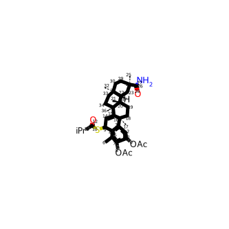 CC(=O)Oc1cc2c(c(C)c1OC(C)=O)C(SC(=O)C(C)C)C=C1[C@@]2(C)CC[C@@]2(C)[C@@H]3C[C@](C)(C(N)=O)CC[C@]3(C)CC[C@]12C